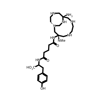 CN[C@]1(NC(=O)CCCC(=O)NC(Cc2ccc(O)cc2)C(=O)O)CNCCNC[C@@]2(N)CNCC[N@](CN2)C1